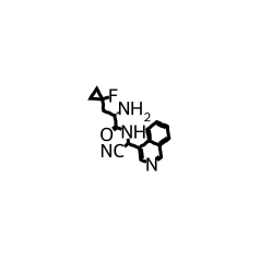 N#CC(NC(=O)[C@@H](N)CC1(F)CC1)c1cncc2ccccc12